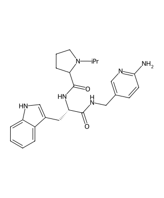 CC(C)N1CCCC1C(=O)N[C@@H](Cc1c[nH]c2ccccc12)C(=O)NCc1ccc(N)nc1